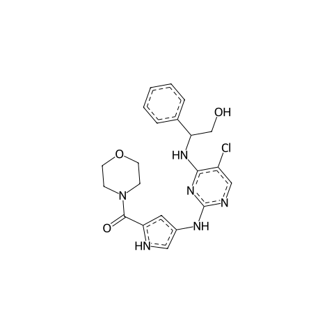 O=C(c1cc(Nc2ncc(Cl)c(NC(CO)c3ccccc3)n2)c[nH]1)N1CCOCC1